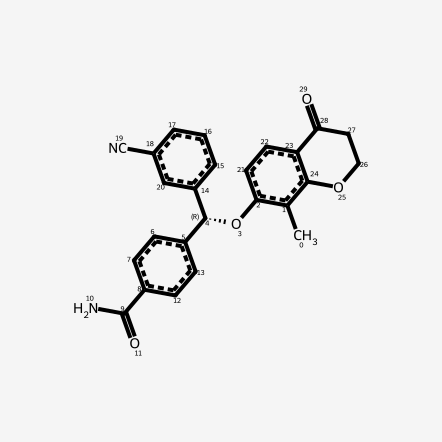 Cc1c(O[C@H](c2ccc(C(N)=O)cc2)c2cccc(C#N)c2)ccc2c1OCCC2=O